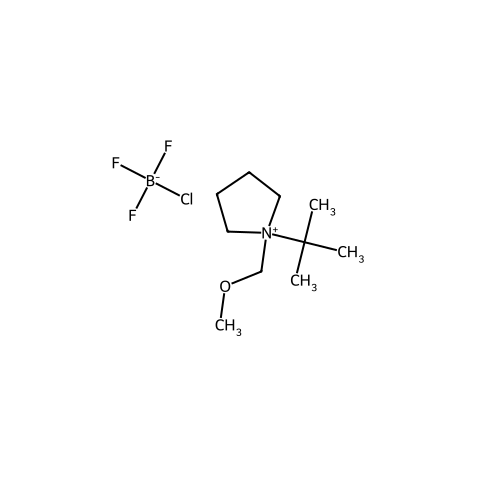 COC[N+]1(C(C)(C)C)CCCC1.F[B-](F)(F)Cl